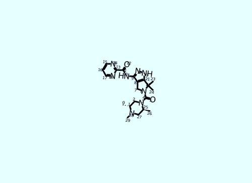 C[C@@H]1CN(C(=O)N2Cc3c(NC(=O)c4ncccn4)n[nH]c3C2(C)C)[C@@H](C)CN1C